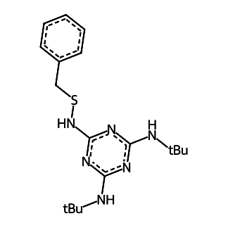 CC(C)(C)Nc1nc(NSCc2ccccc2)nc(NC(C)(C)C)n1